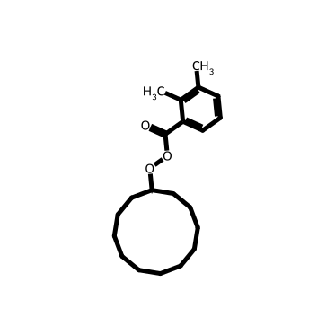 Cc1cccc(C(=O)OO[C]2CCCCCCCCCCC2)c1C